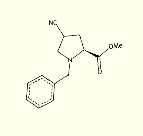 COC(=O)[C@@H]1CC(C#N)CN1Cc1ccccc1